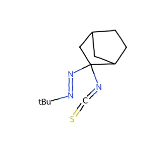 CC(C)(C)N=NC1(N=C=S)CC2CCC1C2